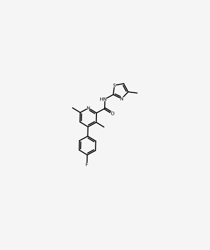 Cc1csc(NC(=O)c2nc(C)cc(-c3ccc(F)cc3)c2C)n1